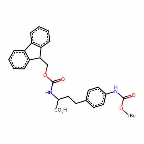 CC(C)(C)OC(=O)Nc1ccc(CCC(NC(=O)OCC2c3ccccc3-c3ccccc32)C(=O)O)cc1